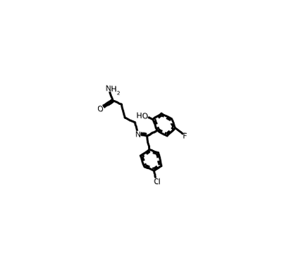 NC(=O)CCCN=C(c1ccc(Cl)cc1)c1cc(F)ccc1O